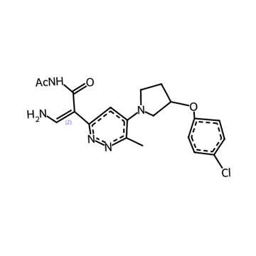 CC(=O)NC(=O)/C(=C\N)c1cc(N2CCC(Oc3ccc(Cl)cc3)C2)c(C)nn1